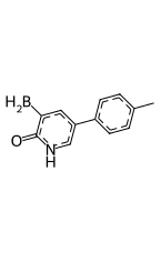 Bc1cc(-c2ccc(C)cc2)c[nH]c1=O